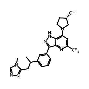 CC(Cc1nncn1C)c1cccc(-c2n[nH]c3c(N4CC[C@@H](O)C4)cc(C(F)(F)F)nc23)c1